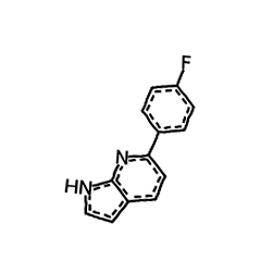 Fc1ccc(-c2ccc3cc[nH]c3n2)cc1